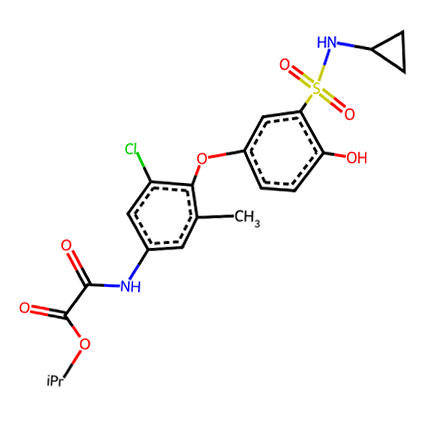 Cc1cc(NC(=O)C(=O)OC(C)C)cc(Cl)c1Oc1ccc(O)c(S(=O)(=O)NC2CC2)c1